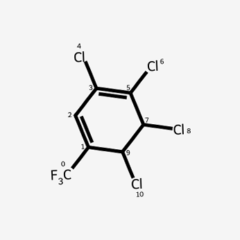 FC(F)(F)C1=CC(Cl)=C(Cl)C(Cl)C1Cl